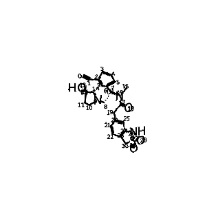 C#Cc1cccc([C@@H](CN2CC[C@H](O)C2)N(C)C(=O)Cc2ccc3c(c2)NS(=O)(=O)C3)c1